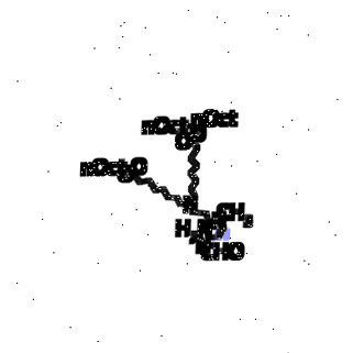 CCCCCCCCOC(=O)CCCCCCCN(CCCCCCCC(=O)OC(CCCCCCCC)CCCCCCCC)CCCN(C)/C=C\C(N)=N/C=O